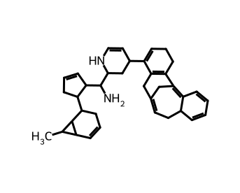 CC1C2C=CCC(C3CC=CC3C(N)C3CC(C4=CCCC5=C4CC4=CCC6C=CC=CC6=C5C4)C=CN3)C12